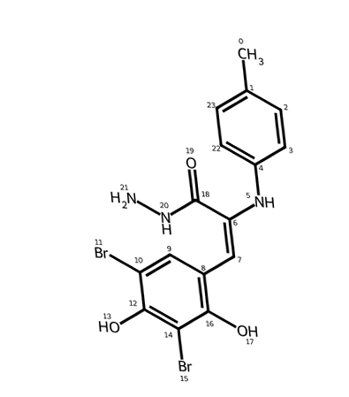 Cc1ccc(N/C(=C/c2cc(Br)c(O)c(Br)c2O)C(=O)NN)cc1